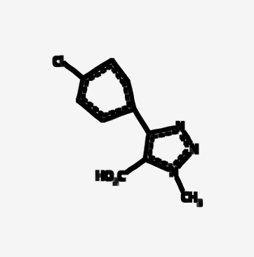 Cn1nnc(-c2ccc(Cl)cc2)c1C(=O)O